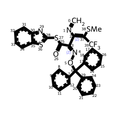 C=NC(/C(=N/OC(c1ccccc1)(c1ccccc1)c1ccccc1)C(=O)Sc1nc2ccccc2s1)=C(\SC)C(F)(F)F